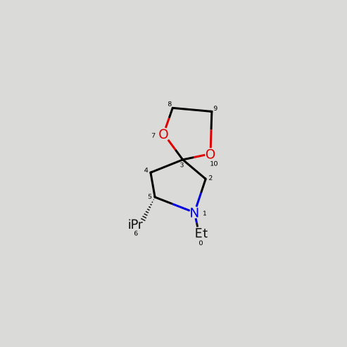 CCN1CC2(C[C@H]1C(C)C)OCCO2